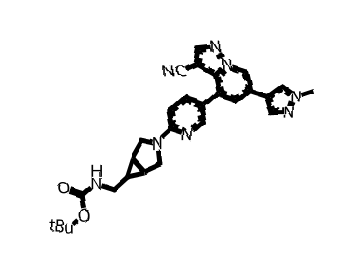 Cn1cc(-c2cc(-c3ccc(N4CC5C(CNC(=O)OC(C)(C)C)C5C4)nc3)c3c(C#N)cnn3c2)cn1